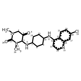 CN1CC(=O)C(NC2CCC(Nc3ccnc4cc(Cl)ccc34)CC2)N(C)C1=O